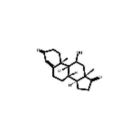 C[C@]12CCC(=O)C=C1CC[C@H]1[C@@H]3CCC(=O)[C@@]3(C)CC(O)[C@]12Br